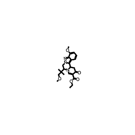 CCOC(=O)C1=CN2C(CC1=O)c1c3cccc(OC)c3nn1CC2C(C)(C)COC